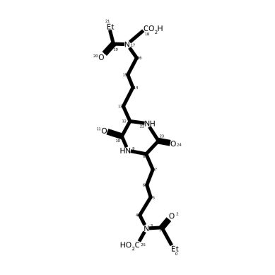 CCC(=O)N(CCCCC1NC(=O)C(CCCCN(C(=O)O)C(=O)CC)NC1=O)C(=O)O